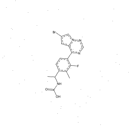 Cc1c(C(C)NC(=O)O)ccc(-c2ncnn3cc(Br)cc23)c1F